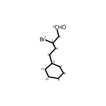 O=CCC(Br)CCC1CCCCC1